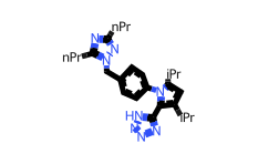 CCCc1nc(CCC)n(Cc2ccc(-n3c(C(C)C)cc(C(C)C)c3-c3nnn[nH]3)cc2)n1